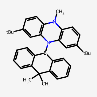 CN1c2ccc(C(C)(C)C)cc2N(B2c3ccccc3C(C)(C)c3ccccc32)c2cc(C(C)(C)C)ccc21